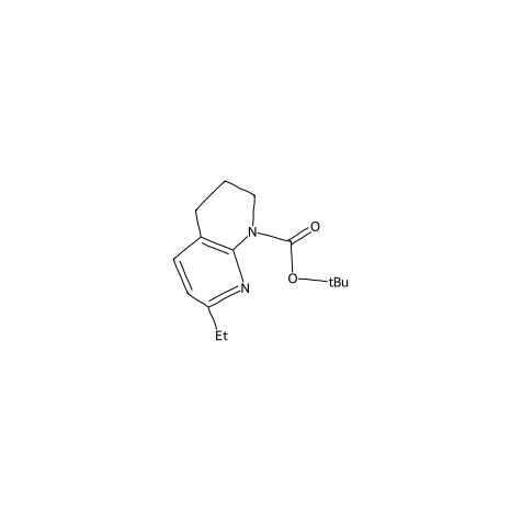 CCc1ccc2c(n1)N(C(=O)OC(C)(C)C)CCC2